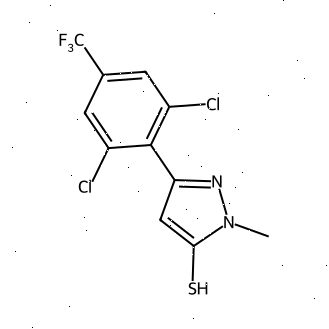 Cn1nc(-c2c(Cl)cc(C(F)(F)F)cc2Cl)cc1S